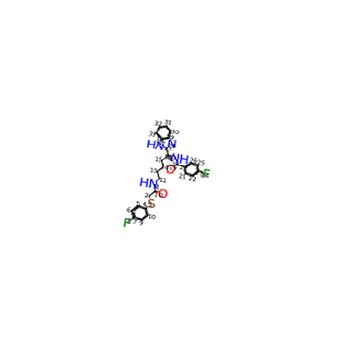 O=C(CSc1ccc(F)cc1)NCCCC[C@H](NC(=O)c1ccc(F)cc1)c1nc2ccccc2[nH]1